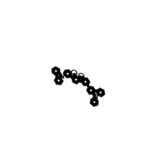 c1ccc(-n2c3ccccc3c3cc(-c4ccc5oc6c(ccc7c8cc(-n9c%10ccccc%10c%10ccccc%109)ccc8oc76)c5c4)ccc32)cc1